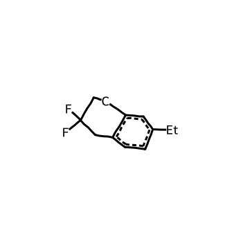 CCc1ccc2c(c1)CCC(F)(F)C2